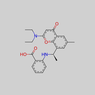 CCN(CC)c1cc(=O)c2cc(C)cc([C@@H](C)Nc3ccccc3C(=O)O)c2o1